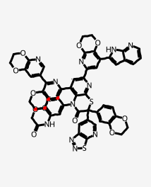 O=C1COc2ncc(N3C(=O)C(c4ccc5c(c4)OCCO5)(c4cnc5snnc5c4)Sc4nc(-c5cc(-c6cc7cccnc7[nH]6)c6c(n5)OCCO6)[c]c(-c5cc6c(c(-c7cnc8c(c7)OCCO8)n5)OCCO6)c43)cc2N1